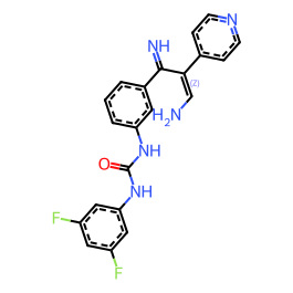 N=C(/C(=C\N)c1ccncc1)c1cccc(NC(=O)Nc2cc(F)cc(F)c2)c1